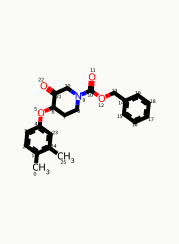 Cc1ccc(OC2CCN(C(=O)OCc3ccccc3)CC2=O)cc1C